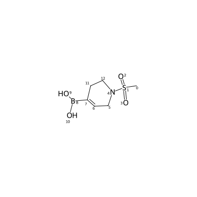 CS(=O)(=O)N1CC=C(B(O)O)CC1